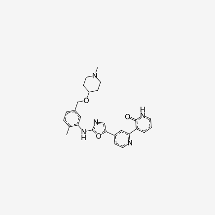 Cc1ccc(COC2CCN(C)CC2)cc1Nc1ncc(-c2ccnc(-c3ccc[nH]c3=O)c2)o1